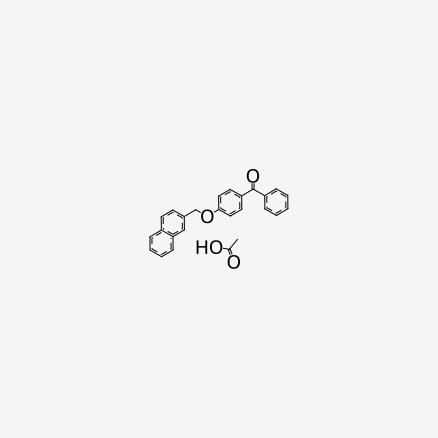 CC(=O)O.O=C(c1ccccc1)c1ccc(OCc2ccc3ccccc3c2)cc1